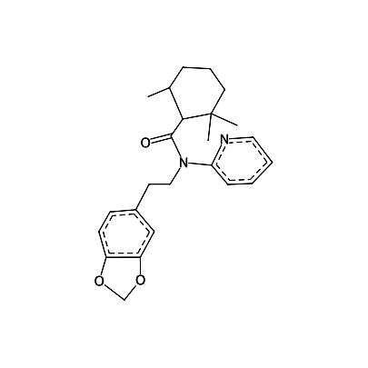 CC1CCCC(C)(C)C1C(=O)N(CCc1ccc2c(c1)OCO2)c1ccccn1